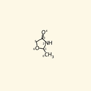 C[C]1NC(=O)CO1